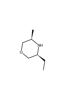 CC[C@H]1COC[C@@H](C)N1